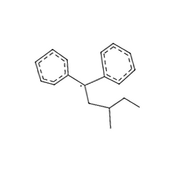 CCC(C)C[C](c1ccccc1)c1ccccc1